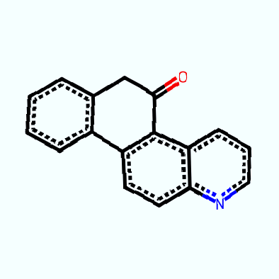 O=C1Cc2ccccc2-c2ccc3ncccc3c21